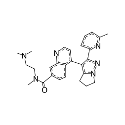 Cc1cccc(-c2nn3c(c2-c2ccnc4cc(C(=O)N(C)CCN(C)C)ccc24)CCC3)n1